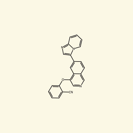 N#Cc1ccccc1Oc1cncc2ccc(-c3cnc4ccccn34)cc12